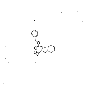 O=C(N[C@@H](CC1CCCCC1)C1CO1)OCc1ccccc1